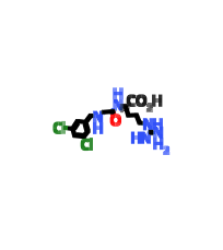 N=C(N)NCCC[C@H](NC(=O)CNCc1cc(Cl)cc(Cl)c1)C(=O)O